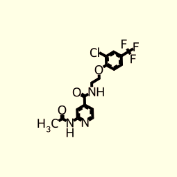 CC(=O)Nc1cc(C(=O)NCCOc2ccc(C(F)(F)F)cc2Cl)ccn1